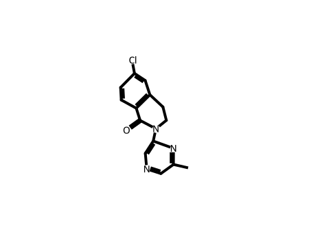 Cc1cncc(N2CCc3cc(Cl)ccc3C2=O)n1